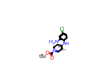 C[C@@H]1CN(C(=O)OC(C)(C)C)CC[C@H]1Nc1ccc(Cl)cc1N